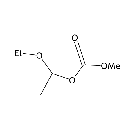 [CH2]OC(=O)OC(C)OCC